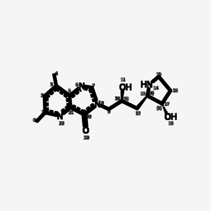 Cc1cc(C)c2ncn(C[C@@H](O)C[C@H]3NCC[C@@H]3O)c(=O)c2n1